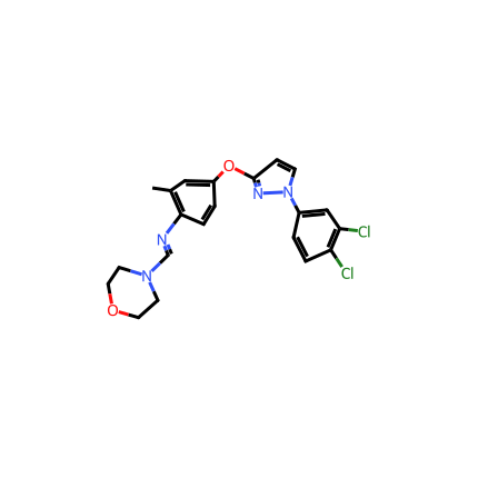 Cc1cc(Oc2ccn(-c3ccc(Cl)c(Cl)c3)n2)ccc1/N=C/N1CCOCC1